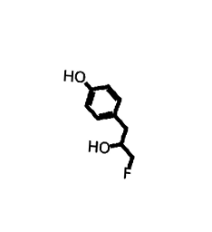 Oc1ccc(CC(O)CF)cc1